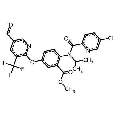 COC(=O)c1cc(Oc2ncc(C=O)cc2C(F)(F)F)ccc1N(C(=O)c1ccc(Cl)cn1)C(C)C